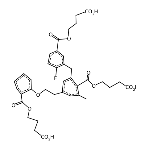 Cc1cc(CCOc2ccccc2C(=O)OCCCC(=O)O)cc(Cc2cc(C(=O)OCCCC(=O)O)ccc2F)c1C(=O)OCCCC(=O)O